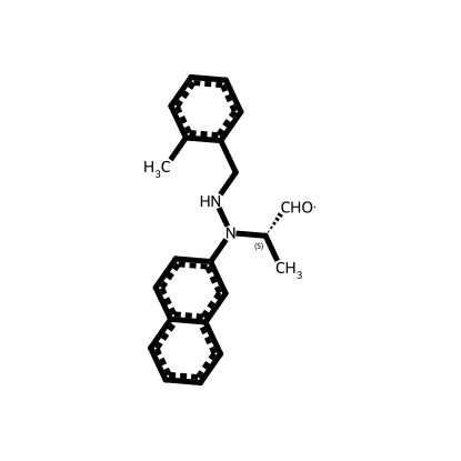 Cc1ccccc1CNN(c1ccc2ccccc2c1)[C@@H](C)[C]=O